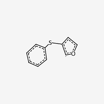 [c]1occc1Sc1ccccc1